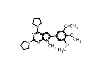 COc1cc(-c2cc3c(N4CCCC4)nc(N4CCCC4)nc3n2C)cc(OC)c1OC